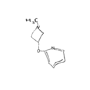 CN1CC(Oc2ccccn2)C1